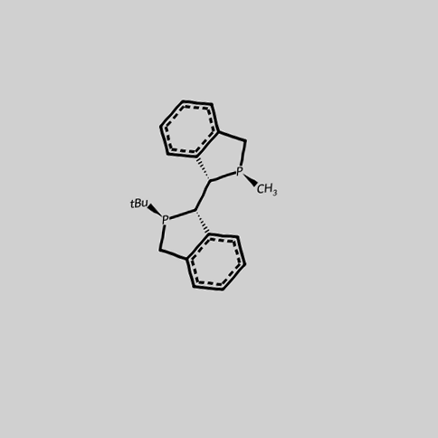 C[P@]1Cc2ccccc2[C@H]1[C@@H]1c2ccccc2C[P@@]1C(C)(C)C